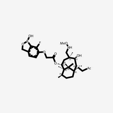 CONC[C@]1(C)C[C@@H](OC(=O)COc2ccc3c(c2F)B(O)OC3)[C@]2(C)[C@H](C)CC[C@@](CCC(C)=O)([C@H]2C)[C@@H](C)[C@@H]1O